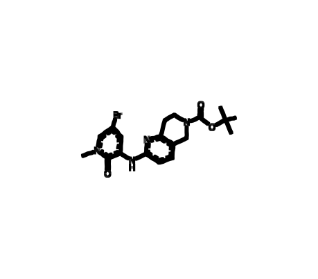 Cn1cc(Br)cc(Nc2ccc3c(n2)CCN(C(=O)OC(C)(C)C)C3)c1=O